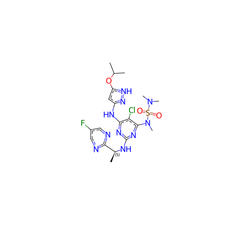 CC(C)Oc1cc(Nc2nc(N[C@@H](C)c3ncc(F)cn3)nc(N(C)S(=O)(=O)N(C)C)c2Cl)n[nH]1